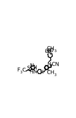 Cc1c(CN2CCC(Nc3ncnc4sc(CC(F)(F)F)cc34)CC2)ccc2c1cc(C#N)n2CCC1CCN(S(C)(=O)=O)CC1